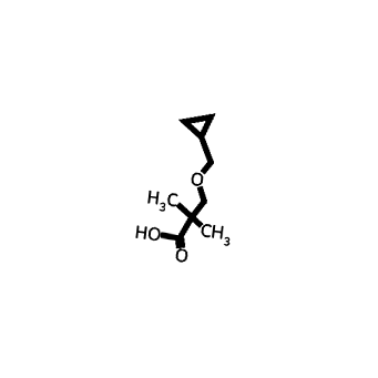 CC(C)(COCC1CC1)C(=O)O